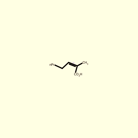 CCCC/C=C(/C)C(=O)O